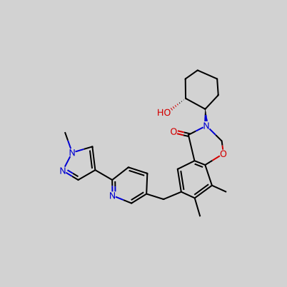 Cc1c(Cc2ccc(-c3cnn(C)c3)nc2)cc2c(c1C)OCN([C@@H]1CCCC[C@H]1O)C2=O